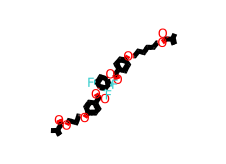 C=C(C)C(=O)OCCCCCCOc1ccc(C(=O)Oc2cc(F)c(OC(=O)c3ccc(OCCCOC(=O)C(=C)C)cc3)c(F)c2F)cc1